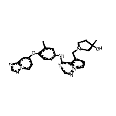 Cc1cc(Nc2ncnn3ccc(CN4CCC(C)(O)C4)c23)ccc1Oc1ccn2ncnc2c1